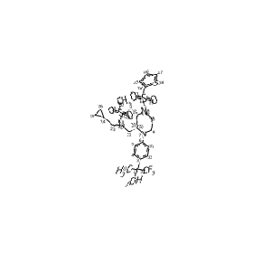 CC(O)(c1ccc(N2CCN(S(=O)(=O)c3cccs3)C[C@@H]2CN(CC2CC2)S(C)(=O)=O)cc1)C(F)(F)F